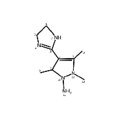 CC1=C(C2=NCCN2)C(C)N(N)N1C